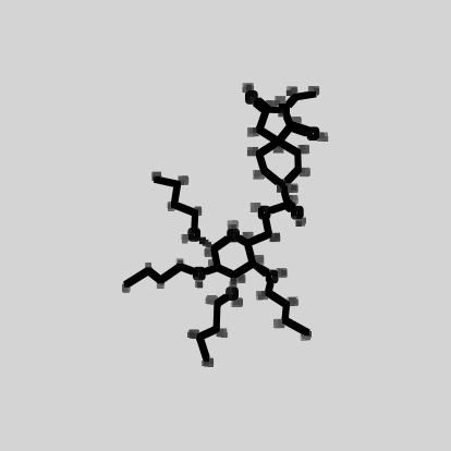 CCCCOC1[C@H](OCCCC)OC(COC(=O)N2CCC3(CC2)CC(=O)N(CC)C3=O)[C@@H](OCCCC)[C@@H]1OCCCC